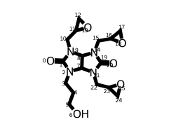 O=C1N(CCCO)C2C(N1CC1CO1)N(CC1CO1)C(=O)N2CC1CO1